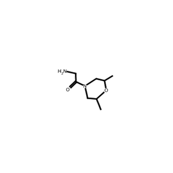 CC1CN(C(=O)CN)CC(C)O1